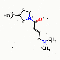 CN(C)CC=CC(=O)N1CCC(C(=O)O)C1